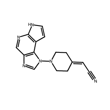 N#CC=C1CCN(n2cnc3cnc4[nH]ccc4c32)CC1